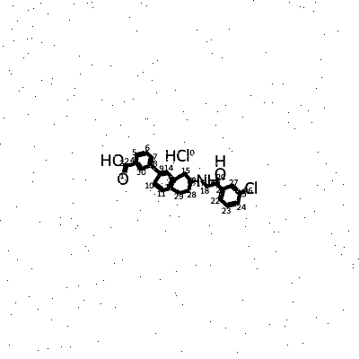 Cl.O=C(O)c1cccc(-c2ccc3c(c2)C[C@@H](NC[C@H](O)c2cccc(Cl)c2)CC3)c1